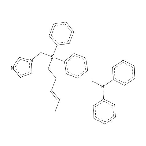 CB(c1ccccc1)c1ccccc1.CC=CCC[Si](Cn1ccnc1)(c1ccccc1)c1ccccc1